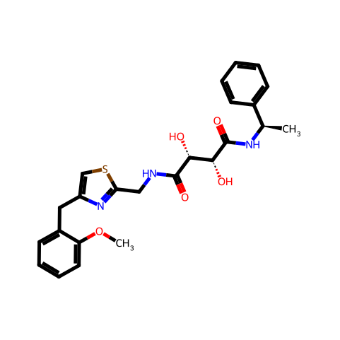 COc1ccccc1Cc1csc(CNC(=O)[C@H](O)[C@@H](O)C(=O)N[C@H](C)c2ccccc2)n1